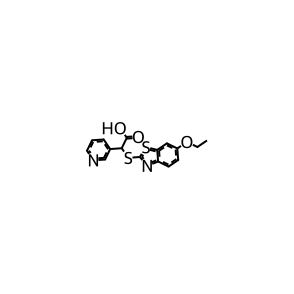 CCOc1ccc2nc(SC(C(=O)O)c3cccnc3)sc2c1